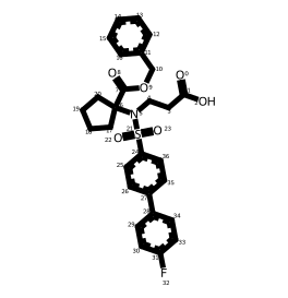 O=C(O)CCN(C1(C(=O)OCc2ccccc2)CCCC1)S(=O)(=O)c1ccc(-c2ccc(F)cc2)cc1